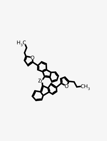 CCCc1ccc(-c2ccc3c(c2)[C]([Zr][C]2=C4C=CC=CC4c4ccc(-c5ccc(CCC)o5)cc42)=C2C=CC=CC23)o1